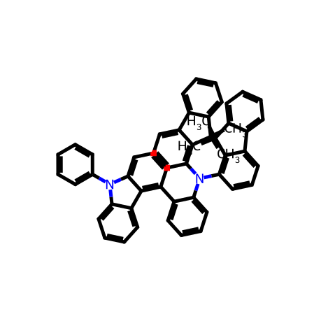 CC1(C)c2ccccc2-c2cccc(N(c3ccccc3-c3cccc4c3c3ccccc3n4-c3ccccc3)c3cccc4c3C(C)(C)c3ccccc3-4)c21